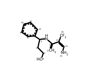 C=C(NC(CCO)c1ccccc1)/C(=C\N)C(F)(F)F